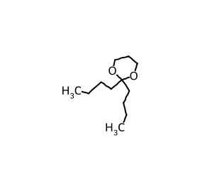 CCCCC1(CCCC)OCCCO1